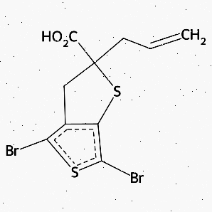 C=CCC1(C(=O)O)Cc2c(Br)sc(Br)c2S1